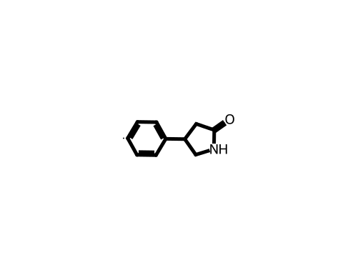 O=C1CC(c2cc[c]cc2)CN1